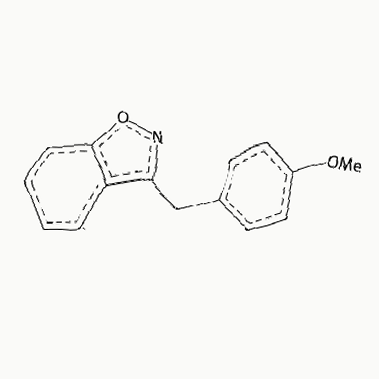 COc1ccc(Cc2noc3ccc[c]c23)cc1